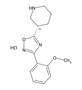 COc1ccccc1-c1noc([C@H]2CCCNC2)n1.Cl